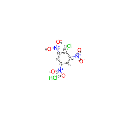 Cl.O=[N+]([O-])c1cc([N+](=O)[O-])c(Cl)c([N+](=O)[O-])c1